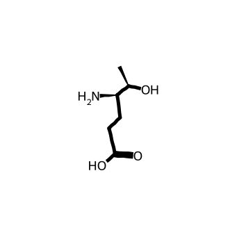 C[C@@H](O)[C@H](N)CCC(=O)O